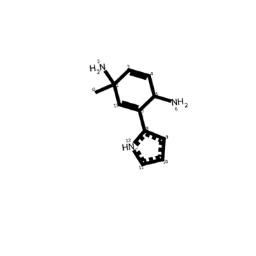 CC1(N)C=CC(N)C(c2ccc[nH]2)=C1